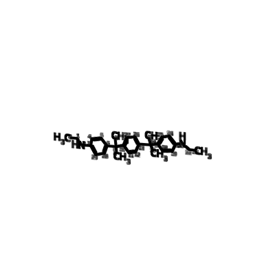 CCNc1ccc(C(C)(C)c2ccc(C(C)(C)c3ccc(NCC)cc3)cc2)cc1